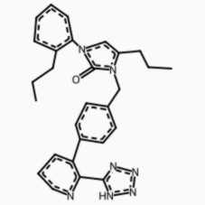 CCCc1ccccc1-n1cc(CCC)n(Cc2ccc(-c3cccnc3-c3nnn[nH]3)cc2)c1=O